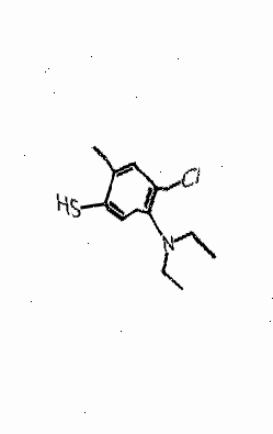 CCN(CC)c1cc(S)c(C)cc1Cl